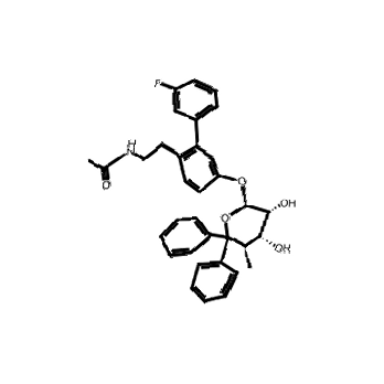 CC(=O)NCCc1ccc(O[C@@H]2OC(c3ccccc3)(c3ccccc3)[C@H](C)[C@@H](O)[C@H]2O)cc1-c1cccc(F)c1